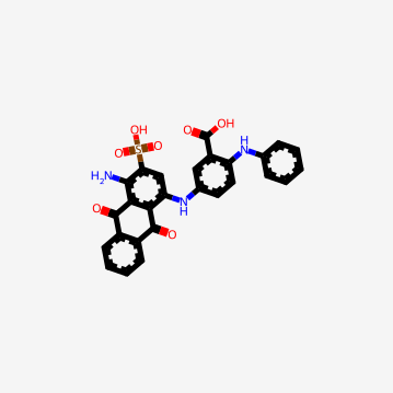 Nc1c(S(=O)(=O)O)cc(Nc2ccc(Nc3ccccc3)c(C(=O)O)c2)c2c1C(=O)c1ccccc1C2=O